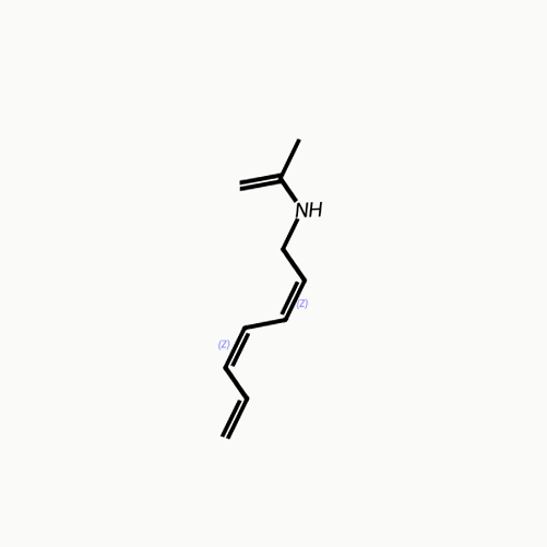 C=C/C=C\C=C/CNC(=C)C